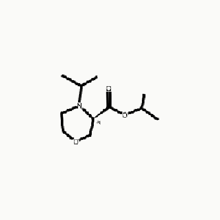 CC(C)OC(=O)[C@H]1COCCN1C(C)C